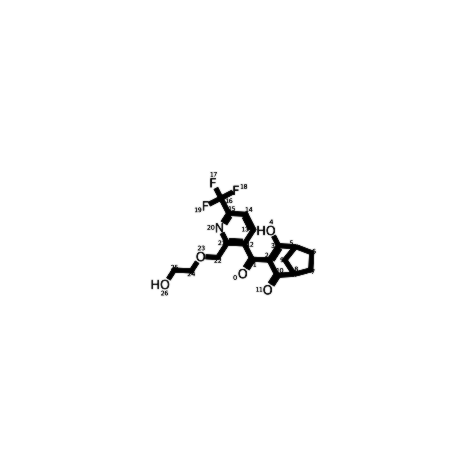 O=C(C1=C(O)C2CCC(C2)C1=O)c1ccc(C(F)(F)F)nc1COCCO